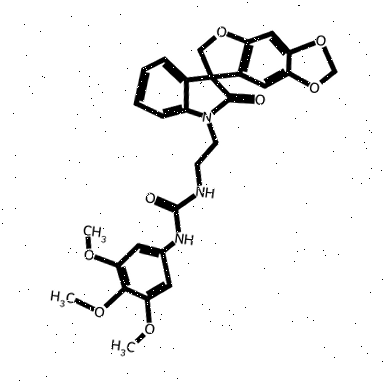 COc1cc(NC(=O)NCCN2C(=O)C3(COc4cc5c(cc43)OCO5)c3ccccc32)cc(OC)c1OC